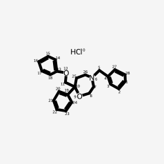 Cl.c1ccc(CN2CCOC(COc3ccccc3)(c3ccccc3)CC2)cc1